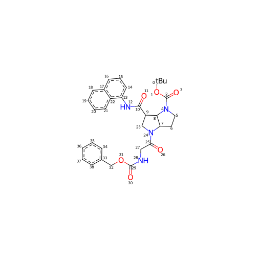 CC(C)(C)OC(=O)N1CCC2C1C(C(=O)Nc1cccc3ccccc13)CN2C(=O)CNC(=O)OCc1ccccc1